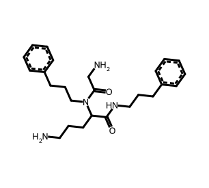 NCCCC(C(=O)NCCCc1ccccc1)N(CCCc1ccccc1)C(=O)CN